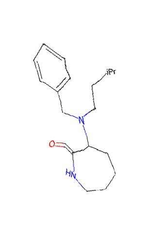 CC(C)CCN(Cc1ccccc1)C1CCCCNC1=O